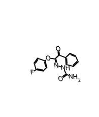 NC(=O)NN=C(Oc1ccc(F)cc1)C(=O)c1ccccc1